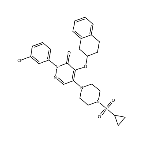 O=c1c(OC2CCc3ccccc3C2)c(N2CCN(S(=O)(=O)C3CC3)CC2)cnn1-c1cccc(Cl)c1